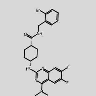 CN(C)c1nc(N[C@H]2CC[C@@H](C(=O)NCc3ccccc3Br)CC2)nc2cc(F)c(F)cc12